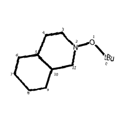 CC(C)(C)ON1CCC2CCCCC2C1